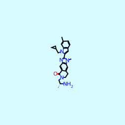 Cc1ccc2cc(-c3nc4cc5c(cc4n3C)CCN(C[C@@H](C)N)C5=O)n(CC3CC3)c2c1